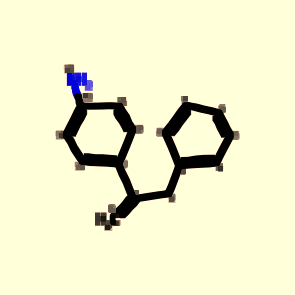 C=C(Cc1ccccc1)c1ccc(N)cc1